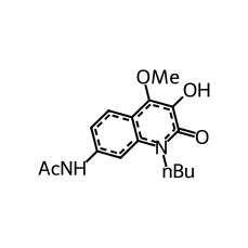 CCCCn1c(=O)c(O)c(OC)c2ccc(NC(C)=O)cc21